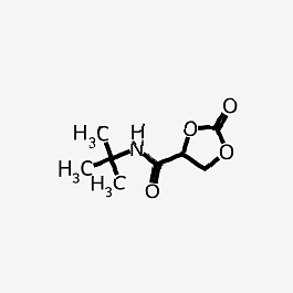 CC(C)(C)NC(=O)C1COC(=O)O1